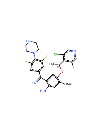 COc1cc(N)c(C(=N)c2cc(F)c(N3CCNCC3)c(F)c2)cc1O[C@H](C)c1c(Cl)cncc1Cl